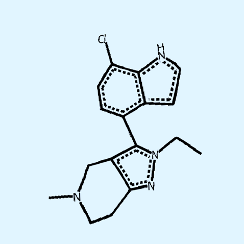 CCn1nc2c(c1-c1ccc(Cl)c3[nH]ccc13)CN(C)CC2